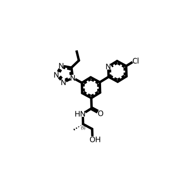 CCc1nnnn1-c1cc(C(=O)N[C@@H](C)CO)cc(-c2ccc(Cl)cn2)c1